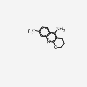 Nc1c2c(nc3cc(C(F)(F)F)ccc13)OCCC2